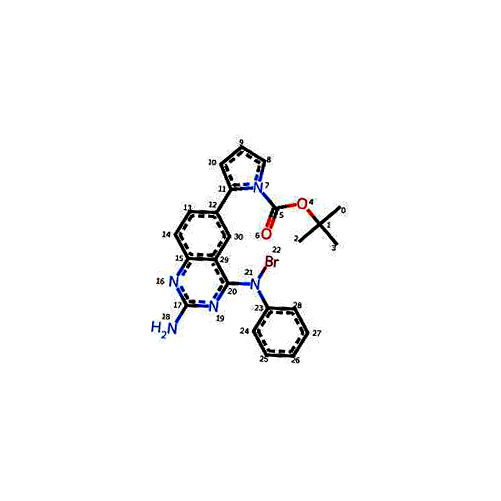 CC(C)(C)OC(=O)n1cccc1-c1ccc2nc(N)nc(N(Br)c3ccccc3)c2c1